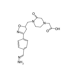 NN=Cc1ccc(C2=NOC(CN3CCN(CC(=O)O)CC3=O)C2)cc1